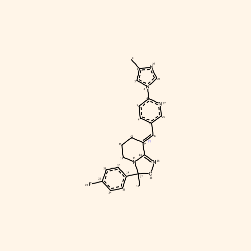 Cc1cn(-c2ccc(/C=C3\CCCN4C3=NOC4(C)c3ccc(F)cc3)cn2)cn1